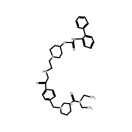 CCN(CC)C(=O)[C@H]1CCCN(Cc2ccc(C(=O)CNCCN3CCC(OC(=O)Nc4ccccc4-c4ccccc4)CC3)cc2)C1